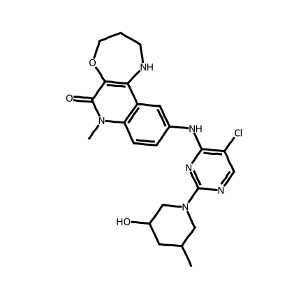 CC1CC(O)CN(c2ncc(Cl)c(Nc3ccc4c(c3)c3c(c(=O)n4C)OCCCN3)n2)C1